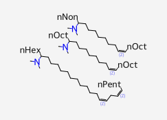 CCCCC/C=C\C/C=C\CCCCCCCCCCCC(CCCCCC)N(C)C.CCCCCCCC/C=C\CCCCCCCC(CCCCCCCC)N(C)C.CCCCCCCC/C=C\CCCCCCCC(CCCCCCCCC)N(C)C